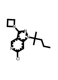 CCCC(C)(C)n1nc(N2CCC2)c2cnc(Cl)cc21